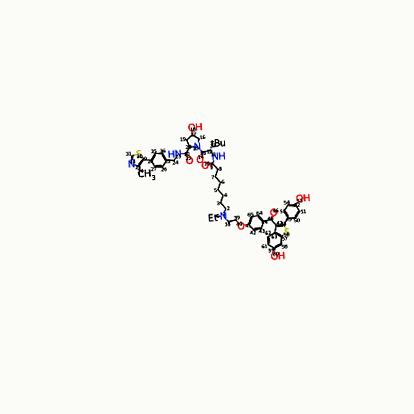 CCN(CCCCCCCC(=O)N[C@H](C(=O)N1CC(O)CC1C(=O)NCc1ccc(-c2scnc2C)cc1)C(C)(C)C)CCOc1ccc(C(=O)c2c(-c3ccc(O)cc3)sc3cc(O)ccc23)cc1